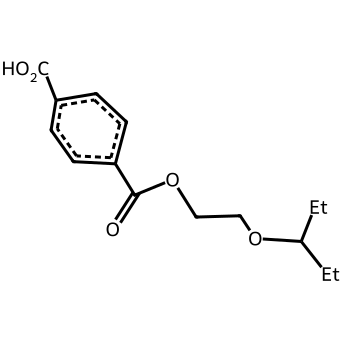 CCC(CC)OCCOC(=O)c1ccc(C(=O)O)cc1